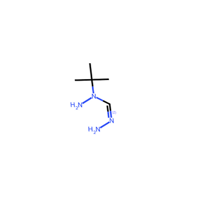 CC(C)(C)N(N)/C=N\N